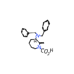 C=C1[C@H](N(Cc2ccccc2)Cc2ccccc2)CCCCN1C(=O)O